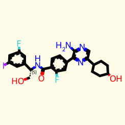 Nc1ncc(C2CCC(O)CC2)nc1-c1ccc(C(=O)N[C@H](CO)c2cc(F)cc(I)c2)c(F)c1